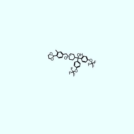 Cc1cc(C[N+]2([O-])CCC(C(O)(c3ccc(OC(F)(F)F)cc3)c3ccc(OC(F)(F)F)cc3)CC2)ccc1C1OCCO1